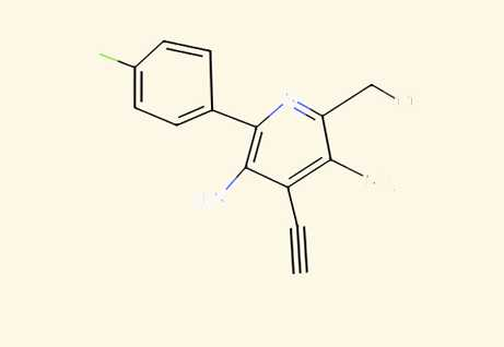 C#Cc1c(N)c(-c2ccc(F)cc2)nc(CC(C)C)c1[N+](=O)[O-]